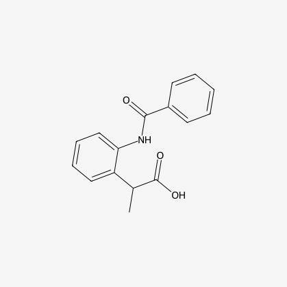 CC(C(=O)O)c1ccccc1NC(=O)c1ccccc1